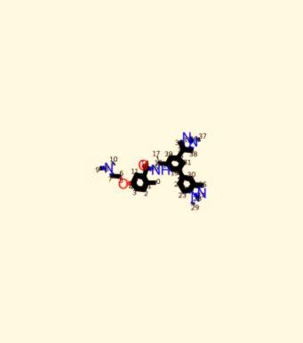 Cc1ccc(OCCN(C)C)cc1C(=O)N[C@H](C)c1cc(-c2ccc3c(cnn3C)c2)cc(-c2cnn(C)c2)c1